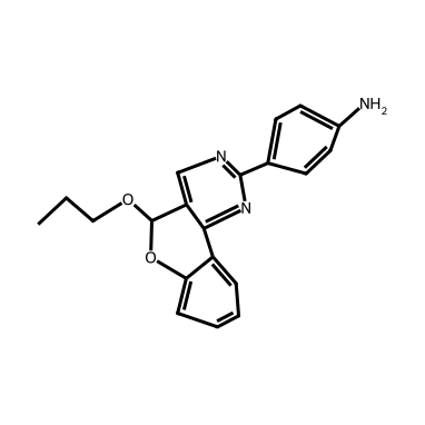 CCCOC1Oc2ccccc2-c2nc(-c3ccc(N)cc3)ncc21